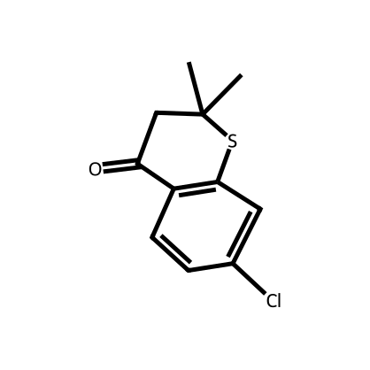 CC1(C)CC(=O)c2ccc(Cl)cc2S1